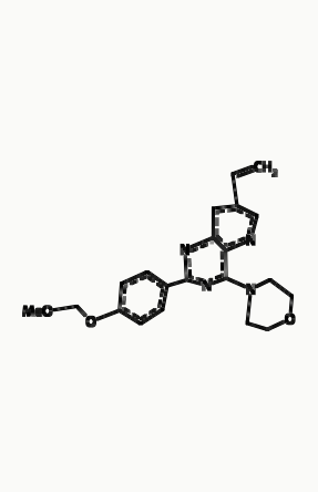 C=Cc1cnc2c(N3CCOCC3)nc(-c3ccc(OCOC)cc3)nc2c1